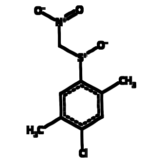 Cc1cc([S+]([O-])C[N+](=O)[O-])c(C)cc1Cl